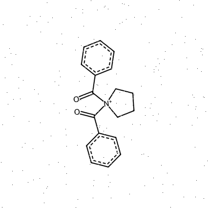 O=C(c1ccccc1)[N+]1(C(=O)c2ccccc2)CCCC1